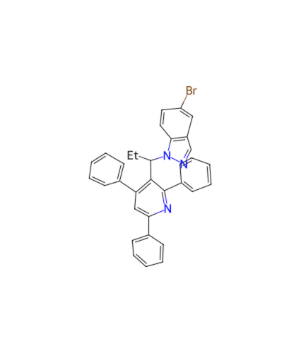 CCC(c1c(-c2ccccc2)cc(-c2ccccc2)nc1-c1ccccc1)n1ncc2cc(Br)ccc21